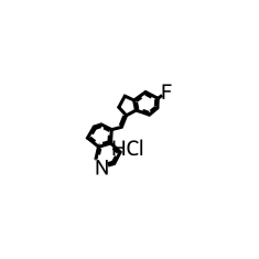 Cl.Fc1ccc2c(c1)CCC2=Cc1cccc2cnccc12